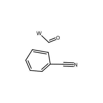 N#Cc1ccccc1.O=[CH][W]